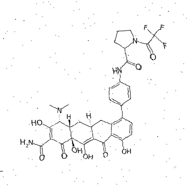 CN(C)[C@H]1C(O)=C(C(N)=O)C(=O)[C@@]2(O)C(O)=C3C(=O)c4c(O)ccc(-c5ccc(NC(=O)C6CCCN6C(=O)C(F)(F)F)cc5)c4C[C@@H]3C[C@@H]12